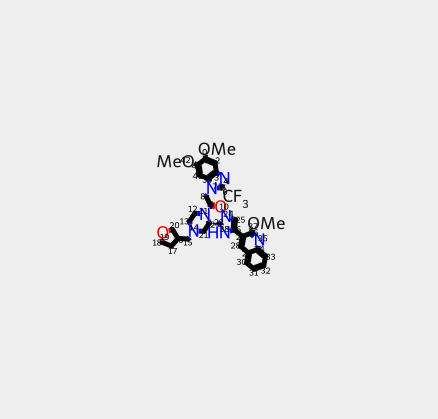 COc1cc2nc(C(F)(F)F)n(CC(=O)N3CCN(CC4CCOC4)C[C@H]3c3ncc(-c4cc5ccccc5nc4OC)[nH]3)c2cc1OC